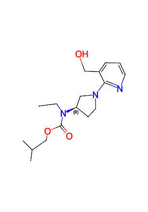 CCN(C(=O)OCC(C)C)[C@@H]1CCN(c2ncccc2CO)C1